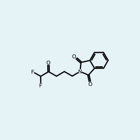 O=C(CCCN1C(=O)c2ccccc2C1=O)C(F)F